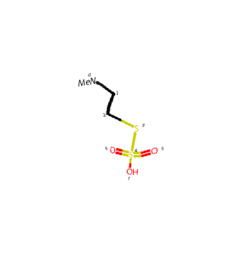 CNCCSS(=O)(=O)O